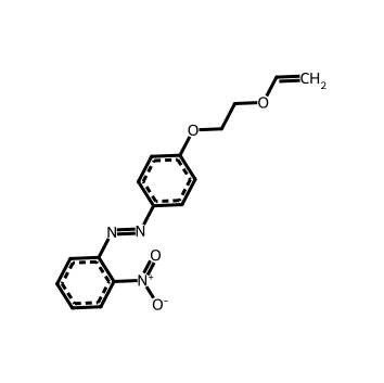 C=COCCOc1ccc(N=Nc2ccccc2[N+](=O)[O-])cc1